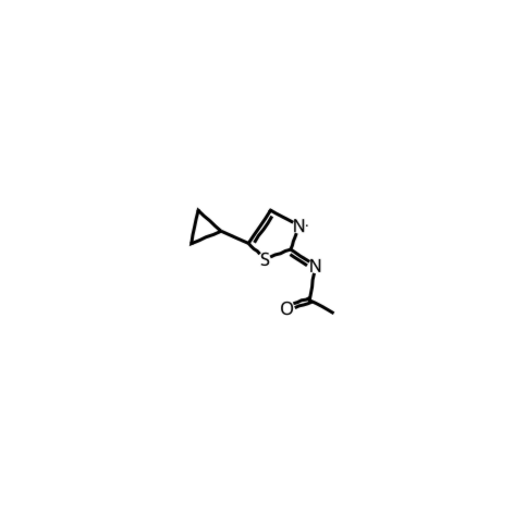 CC(=O)N=C1[N]C=C(C2CC2)S1